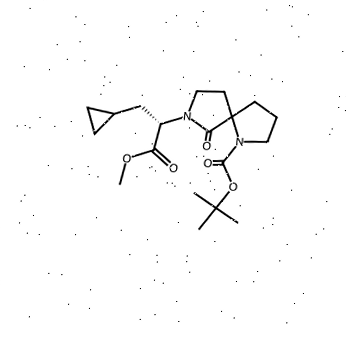 COC(=O)[C@H](CC1CC1)N1CCC2(CCCN2C(=O)OC(C)(C)C)C1=O